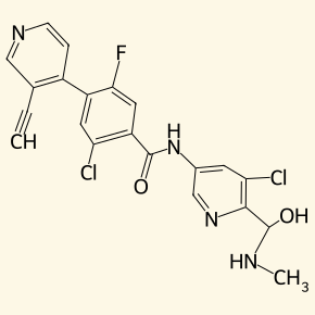 C#Cc1cnccc1-c1cc(Cl)c(C(=O)Nc2cnc(C(O)NC)c(Cl)c2)cc1F